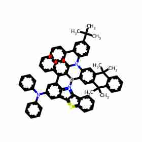 CC(C)(C)c1ccc(N2c3cc4c(cc3B3c5c2cc2ccccc2c5-c2cc(N(c5ccccc5)c5ccccc5)cc5c6sc7ccccc7c6n3c25)C(C)(C)c2ccccc2C4(C)C)c(-c2ccccc2)c1